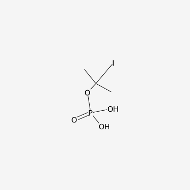 CC(C)(I)OP(=O)(O)O